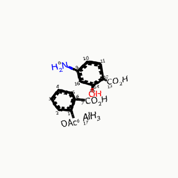 CC(=O)Oc1ccccc1C(=O)O.Nc1ccc(C(=O)O)c(O)c1.[AlH3]